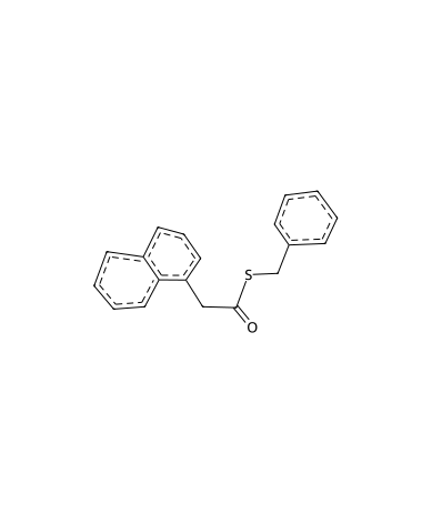 O=C(Cc1cccc2ccccc12)SCc1ccccc1